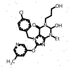 CCN1c2nc(Oc3cncc(C)c3)n(Cc3ccc(Cl)cc3)c2C(=O)N(CCCO)C1O